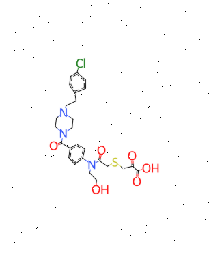 O=C(O)C(=O)CSCC(=O)N(CCO)c1ccc(C(=O)N2CCN(CCc3ccc(Cl)cc3)CC2)cc1